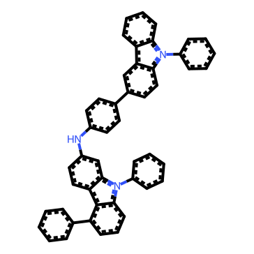 c1ccc(-c2cccc3c2c2ccc(Nc4ccc(-c5ccc6c(c5)c5ccccc5n6-c5ccccc5)cc4)cc2n3-c2ccccc2)cc1